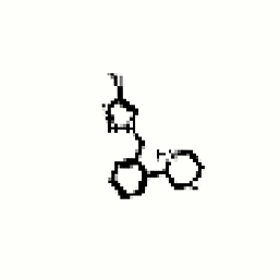 [2H]c1cn(Cc2ccccc2C2COCCN2)nn1